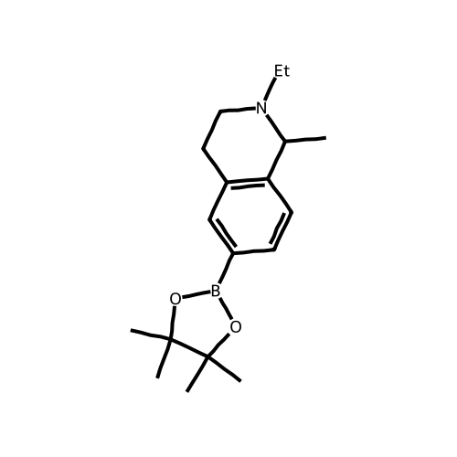 CCN1CCc2cc(B3OC(C)(C)C(C)(C)O3)ccc2C1C